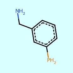 NCc1cccc(P)c1